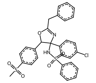 CS(=O)(=O)c1ccc(C2OC(Cc3ccccc3)=NC2(NS(=O)(=O)c2ccccc2)c2ccc(Cl)cc2)cc1